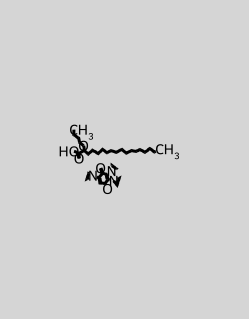 CCCCCCCCCCCCCCCCC(OCCCC)C(=O)O.O=C1C=C(N2CC2)C(=O)C(N2CC2)=C1N1CC1